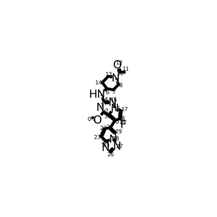 COc1nc(NC2CCN(C(C)=O)CC2)nn2cc(F)c(-c3ccc4ncnn4c3)c12